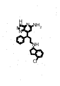 Nc1cc(C(CCN[C@@H]2CCc3c(Cl)cccc32)c2ccccc2)c2nn[nH]c2n1